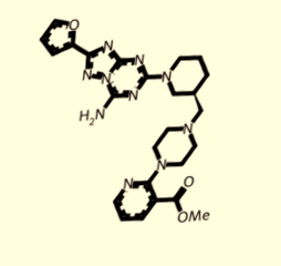 COC(=O)c1cccnc1N1CCN(C[C@@H]2CCCN(c3nc(N)n4nc(-c5ccco5)nc4n3)C2)CC1